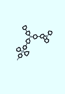 Fc1ccc([Si](c2ccccc2)(c2ccccc2)c2ccc(-c3ccc(N(c4ccc(-c5ccccc5)cc4)c4ccc(-c5ccc6c(c5)c5ccccc5n6-c5ccccc5)cc4)cc3)cc2)cc1